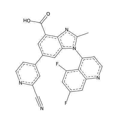 Cc1nc2c(C(=O)O)cc(-c3ccnc(C#N)c3)cc2n1-c1ccnc2cc(F)cc(F)c12